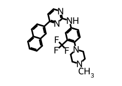 CN1CCN(c2ccc(Nc3nccc(-c4ccc5ccccc5c4)n3)cc2C(F)(F)F)CC1